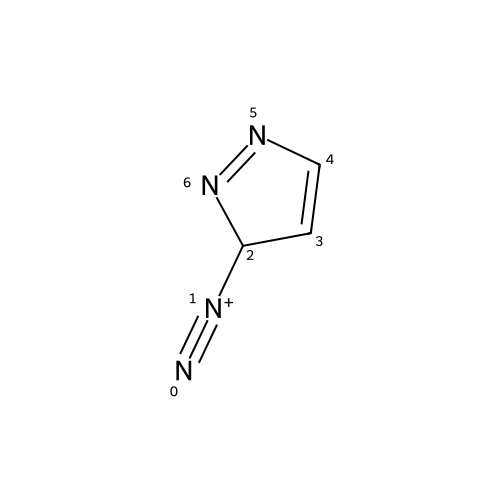 N#[N+]C1C=CN=N1